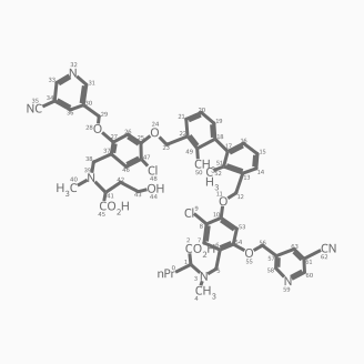 CCCC(C(=O)O)N(C)Cc1cc(Cl)c(OCc2cccc(-c3cccc(COc4cc(OCc5cncc(C#N)c5)c(CN(C)C(CCO)C(=O)O)cc4Cl)c3C)c2C)cc1OCc1cncc(C#N)c1